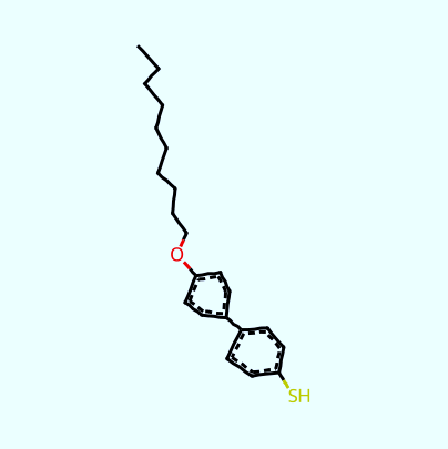 CCCCCCCCCCOc1ccc(-c2ccc(S)cc2)cc1